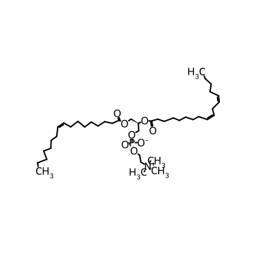 CCCC/C=C\C/C=C\CCCCCCCC(=O)O[C@H](COC(=O)CCCCCCC/C=C\CCCCCCC)COP(=O)([O-])OCC[N+](C)(C)C